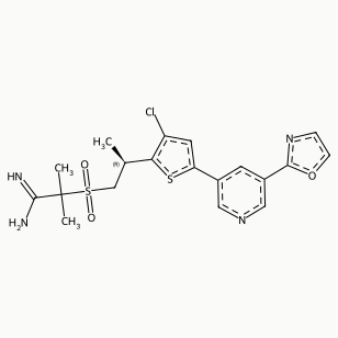 C[C@H](CS(=O)(=O)C(C)(C)C(=N)N)c1sc(-c2cncc(-c3ncco3)c2)cc1Cl